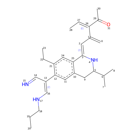 C=C(/C=C1\NC(C(C)C)Cc2cc(/C(C=N)=C/NCCC)c(CC)cc21)/C(=C\C)C(C)=O